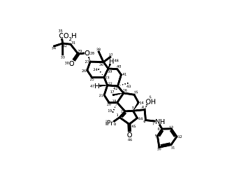 CC(C)C1=C2[C@@]([C@H](O)CNc3ccccc3)(CC[C@]3(C)[C@]2(C)CC[C@@H]2[C@@]4(C)CC[C@H](OC(=O)CC(C)(C)C(=O)O)C(C)(C)[C@@H]4CC[C@]23C)CC1=O